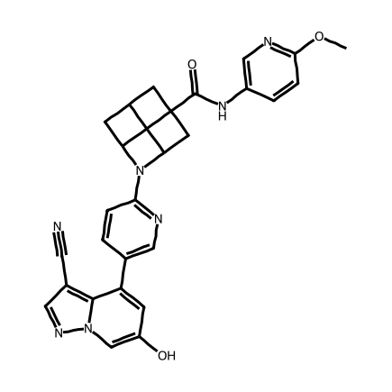 COc1ccc(NC(=O)C23CC4CC5N(c6ccc(-c7cc(O)cn8ncc(C#N)c78)cn6)C(C2)C453)cn1